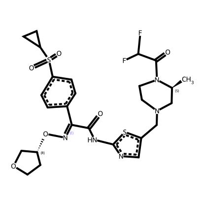 C[C@H]1CN(Cc2cnc(NC(=O)/C(=N/O[C@@H]3CCOC3)c3ccc(S(=O)(=O)C4CC4)cc3)s2)CCN1C(=O)C(F)F